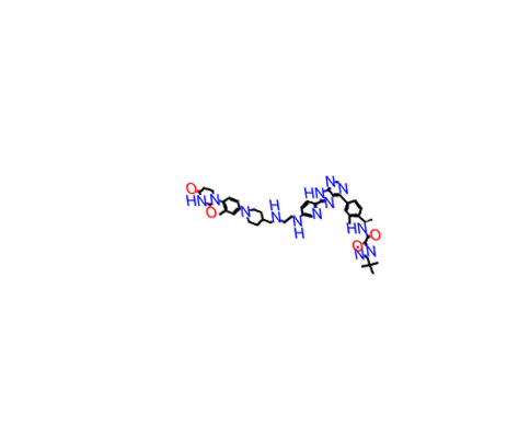 Cc1cc(-c2ncnc3[nH]c(-c4ccc(NCCNCC5CCN(c6ccc(N7CCC(=O)NC7=O)c(C)c6)CC5)cn4)nc23)ccc1[C@@H](C)NC(=O)c1nc(C(C)(C)C)no1